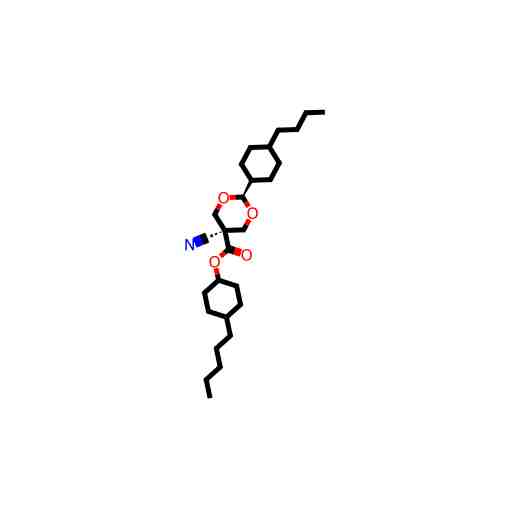 CCCCCC1CCC(OC(=O)[C@]2(C#N)CO[C@H](C3CCC(CCCC)CC3)OC2)CC1